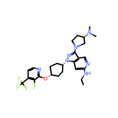 CCNc1cc2c(cn1)c(N1CC[C@@H](N(C)C)C1)nn2[C@H]1CC[C@@H](Oc2nccc(C(F)(F)F)c2F)CC1